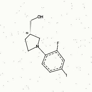 OC[C@H]1CCN(c2ccc(I)cc2F)C1